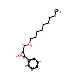 CCCCCCCCCOCC1OC1c1ccccc1